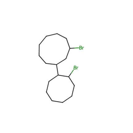 BrC1CCCCCCC(C2CCCCCCC2Br)C1